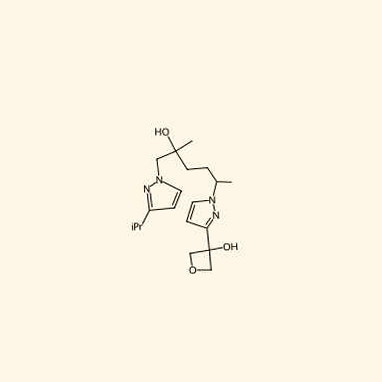 CC(C)c1ccn(CC(C)(O)CCC(C)n2ccc(C3(O)COC3)n2)n1